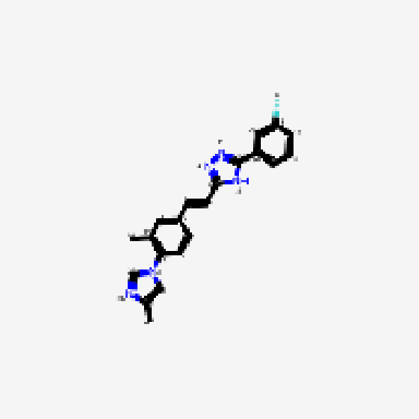 Cc1cn(-c2ccc(/C=C/c3nnc(-c4cccc(F)c4)[nH]3)cc2C)cn1